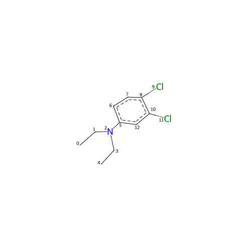 CCN(CC)c1ccc(Cl)c(Cl)c1